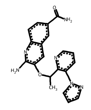 CC(Oc1cc2cc(C(N)=O)ccc2nc1N)c1ncccc1-n1cccn1